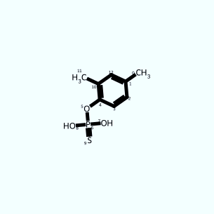 Cc1ccc(OP(O)(O)=S)c(C)c1